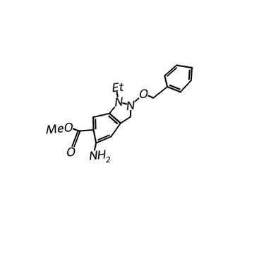 CCN1c2cc(C(=O)OC)c(N)cc2CN1OCc1ccccc1